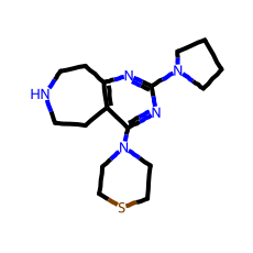 C1CCN(c2nc3c(c(N4CCSCC4)n2)CCNCC3)C1